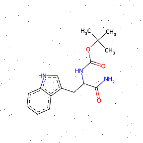 CC(C)(C)OC(=O)NC(Cc1c[nH]c2ccccc12)C(N)=O